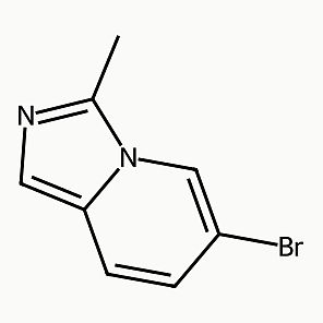 Cc1ncc2ccc(Br)cn12